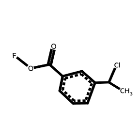 CC(Cl)c1cccc(C(=O)OF)c1